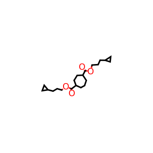 O=C(OCCCC1CC1)C1CCCC(C(=O)OCCCC2CC2)CC1